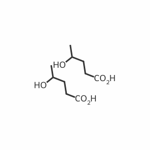 CC(O)CCC(=O)O.CC(O)CCC(=O)O